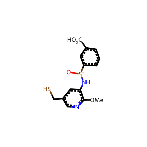 COc1ncc(CS)cc1N[S+]([O-])c1cccc(C(=O)O)c1